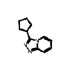 [c]1ccc2nnc(C3CCCC3)n2c1